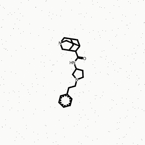 O=C(NC1CCN(CCc2ccccc2)C1)C1C2CC3CC1CN(C3)C2